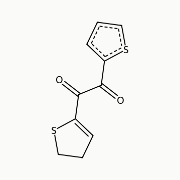 O=C(C(=O)c1cccs1)C1=CCCS1